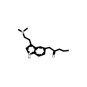 CCCC(=O)Cc1ccc2[nH]cc(CCN(C)C)c2c1